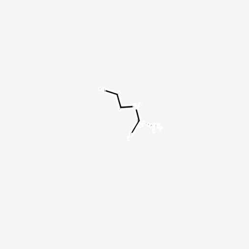 C[C@H](I)OCCI